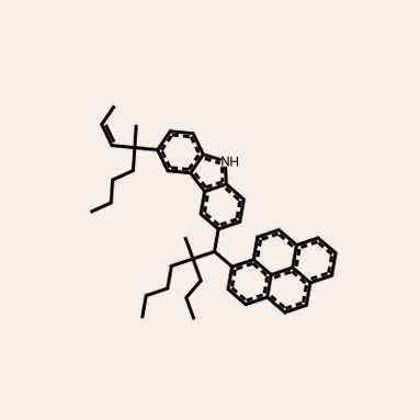 C/C=C\C(C)(CCCC)c1ccc2[nH]c3ccc(C(c4ccc5ccc6cccc7ccc4c5c67)C(C)(CCC)CCCC)cc3c2c1